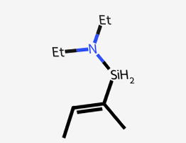 CC=C(C)[SiH2]N(CC)CC